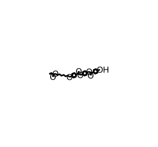 C=CC(=O)OCCCCCCOc1ccc(C(=O)Oc2ccc(OC(=O)c3ccc(O)cc3)cc2)cc1